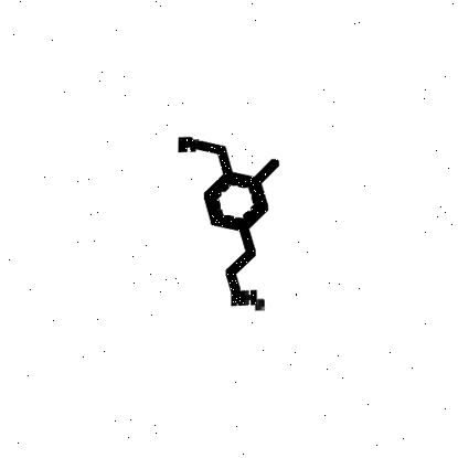 Cc1cc(CCN)ccc1CC(C)C